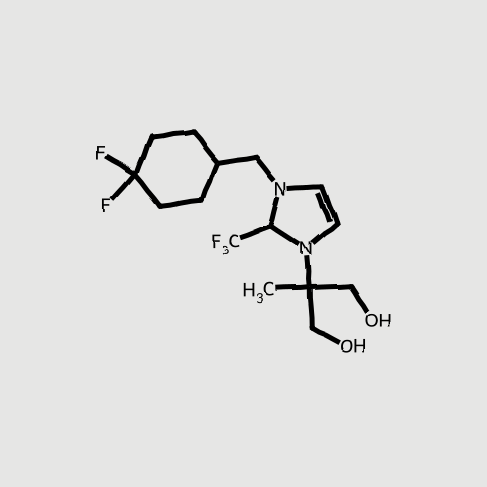 CC(CO)(CO)N1C=CN(CC2CCC(F)(F)CC2)C1C(F)(F)F